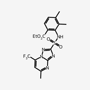 CCOC(=O)c1ccc(C)c(C)c1NS(=O)(=O)c1nc2nc(C)cc(C(F)(F)F)n2n1